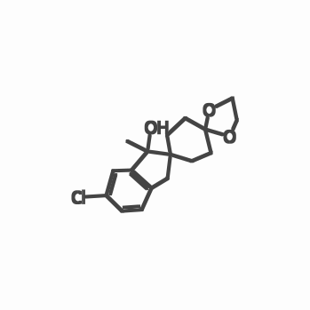 CC1(O)c2cc(Cl)ccc2CC12CCC1(CC2)OCCO1